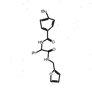 CC(C)C(NC(=O)c1ccc(C(C)(C)C)cc1)C(=O)NCc1ccco1